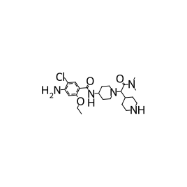 CCOc1cc(N)c(Cl)cc1C(=O)NC1CCN(C(C(=O)N(C)C)C2CCNCC2)CC1